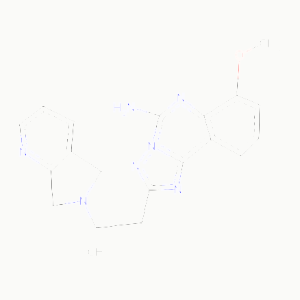 COc1cccc2c1nc(N)n1nc(C[C@H](C)N3Cc4cccnc4C3)nc21